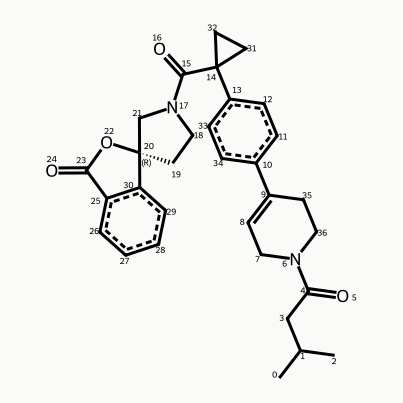 CC(C)CC(=O)N1CC=C(c2ccc(C3(C(=O)N4CC[C@@]5(C4)OC(=O)c4ccccc45)CC3)cc2)CC1